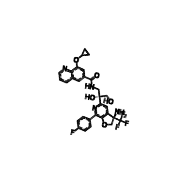 N[C@@]1(C(F)(F)F)COc2c1cc([C@](O)(CO)CNC(=O)c1cc(OC3CC3)c3ncccc3c1)nc2-c1ccc(F)cc1